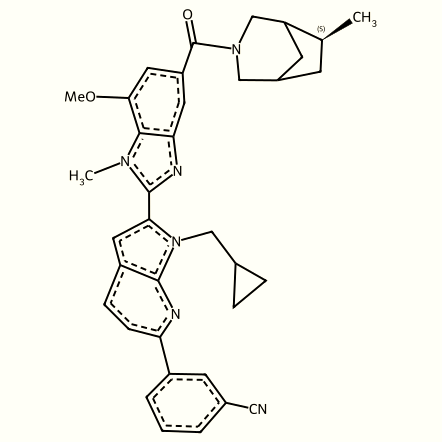 COc1cc(C(=O)N2CC3CC(C2)[C@@H](C)C3)cc2nc(-c3cc4ccc(-c5cccc(C#N)c5)nc4n3CC3CC3)n(C)c12